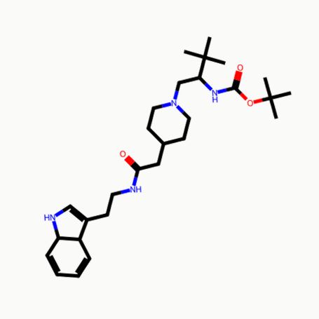 CC(C)(C)OC(=O)NC(CN1CCC(CC(=O)NCCC2=CNC3C=CC=CC23)CC1)C(C)(C)C